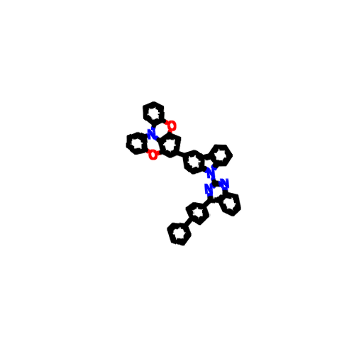 c1ccc(-c2ccc(-c3nc(-n4c5ccccc5c5cc(-c6cc7c8c(c6)Oc6ccccc6N8c6ccccc6O7)ccc54)nc4ccccc34)cc2)cc1